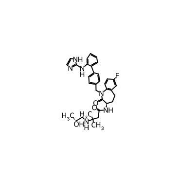 C[C@@H](O)CNC(C)(C)CC(=O)N[C@@H]1CCc2cc(F)ccc2N(Cc2ccc(-c3ccccc3Nc3ncc[nH]3)cc2)C1=O